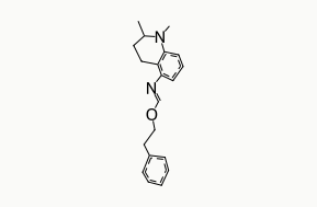 CC1CCc2c(/N=C/OCCc3ccccc3)cccc2N1C